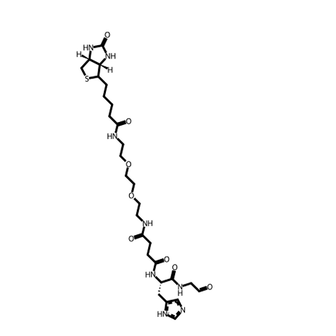 O=CCNC(=O)[C@H](Cc1cnc[nH]1)NC(=O)CCC(=O)NCCOCCOCCNC(=O)CCCCC1SC[C@@H]2NC(=O)N[C@H]12